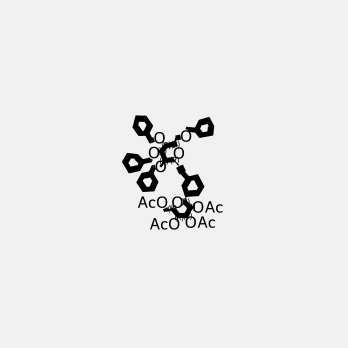 CC(=O)OC[C@H]1O[C@H](c2cccc(C#C[C@H]3O[C@H](COCc4ccccc4)[C@@H](OCc4ccccc4)[C@H](OCc4ccccc4)[C@@H]3OCc3ccccc3)c2)[C@@H](OC(C)=O)[C@@H](OC(C)=O)[C@@H]1OC(C)=O